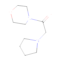 C[C@H]1CCN([C@@H](C)C(=O)N2CCOCC2)C1